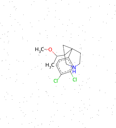 COC(C)C12CNCCC1(c1ccc(Cl)c(Cl)c1)C2